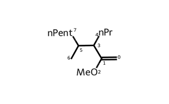 C=C(OC)C(CCC)C(C)CCCCC